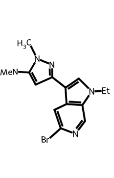 CCn1cc(-c2cc(NC)n(C)n2)c2cc(Br)ncc21